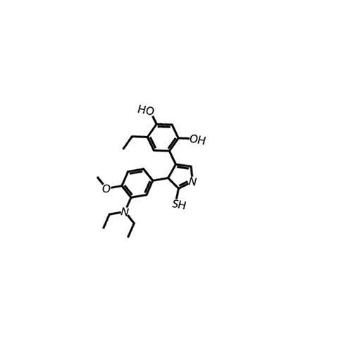 CCc1cc(C2=CN=C(S)C2c2ccc(OC)c(N(CC)CC)c2)c(O)cc1O